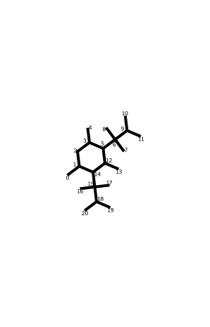 CC1CC(C)C(C(C)(C)C(C)C)C(C)C1C(C)(C)C(C)C